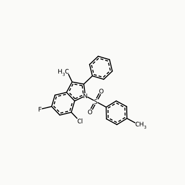 Cc1ccc(S(=O)(=O)n2c(-c3ccccc3)c(C)c3cc(F)cc(Cl)c32)cc1